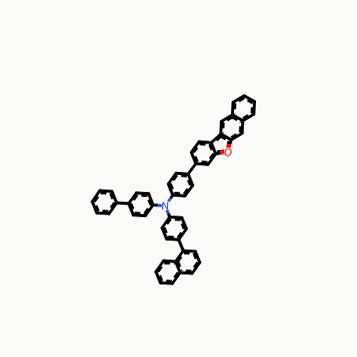 c1ccc(-c2ccc(N(c3ccc(-c4ccc5c(c4)oc4cc6ccccc6cc45)cc3)c3ccc(-c4cccc5ccccc45)cc3)cc2)cc1